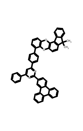 CC1(C)c2ccccc2-c2c1ccc1c2Oc2cccc(-c3ccc(-c4cc(-c5ccccc5)nc(-c5ccc6c7ccccc7c7ccccc7c6c5)n4)cc3)c2O1